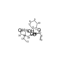 C=CC(=O)OC1CCCCC1.CCC(CO)(CO)CO